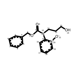 O=C(OCc1ccccc1)N(CCCO)c1cccc[n+]1[O-]